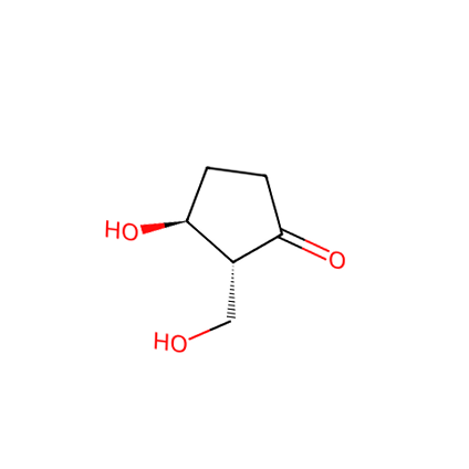 O=C1CC[C@H](O)[C@H]1CO